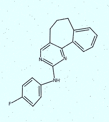 Fc1ccc(Nc2ncc3c(n2)-c2ccccc2CCC3)cc1